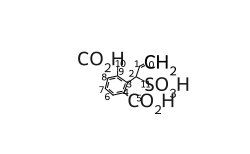 C=CC(c1c(C(=O)O)cccc1C(=O)O)S(=O)(=O)O